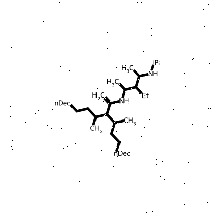 C=C(NC(C)C(CC)C(C)NC(C)C)C(C(C)CCCCCCCCCCCC)C(C)CCCCCCCCCCCC